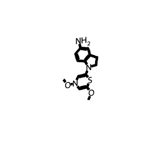 COC1=CN(OC)C=C(N2CCc3cc(N)ccc32)S1